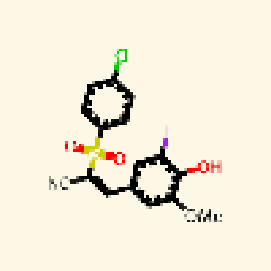 COc1cc(C=C(C#N)S(=O)(=O)c2ccc(Cl)cc2)cc(I)c1O